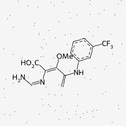 C=C(Nc1cccc(C(F)(F)F)c1)/C(OC)=C(\N=C/N)C(=O)O